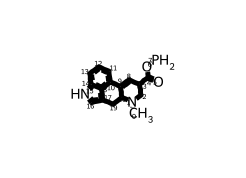 CN1CC(C(=O)OP)C=C2c3cccc4[nH]cc(c34)CC21